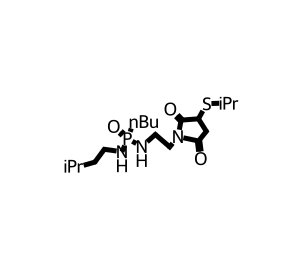 CCCCP(=O)(NCCC(C)C)NCCN1C(=O)CC(SC(C)C)C1=O